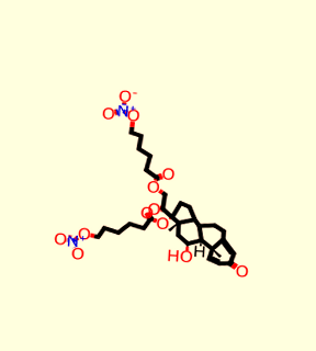 C[C@]12C=CC(=O)C=C1CCC1C3CC[C@](OC(=O)CCCCCO[N+](=O)[O-])(C(=O)COC(=O)CCCCCO[N+](=O)[O-])[C@@]3(C)C[C@H](O)[C@@H]12